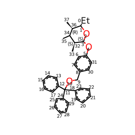 CCC1O[C@@H](Oc2ccc(COC(c3ccccc3)(c3ccccc3)c3ccccc3)cc2)[C@@H](C)C(C)[C@H]1C